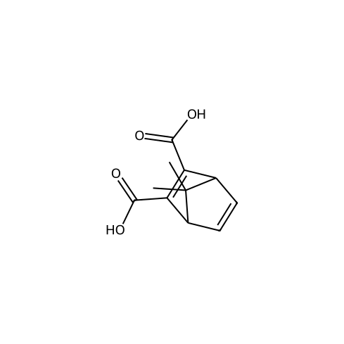 CC1(C)C2C=CC1C(C(=O)O)=C2C(=O)O